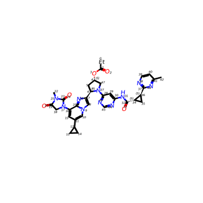 CCC(=O)O[C@H]1C[C@H](c2cn3cc(C4CC4)cc(N4CC(=O)N(C)C4=O)c3n2)N(c2cc(NC(=O)[C@H]3C[C@@H]3c3nccc(C)n3)ncn2)C1